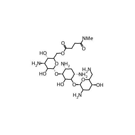 CNC(=O)CCC(=O)OCC1O[C@H](O[C@@H]2C(O)C(O[C@H]3OC(CN)[C@@H](O)CC3N)[C@@H](N)C[C@H]2N)C(O)[C@@H](N)[C@@H]1O